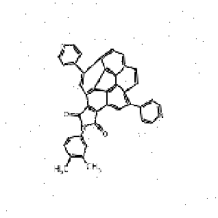 Cc1ccc(-n2c(=O)c3c4cc(-c5ccncc5)c5ccc6ccc7c(-c8ccncc8)cc(c3c2=O)c2c7c6c5c42)cc1C